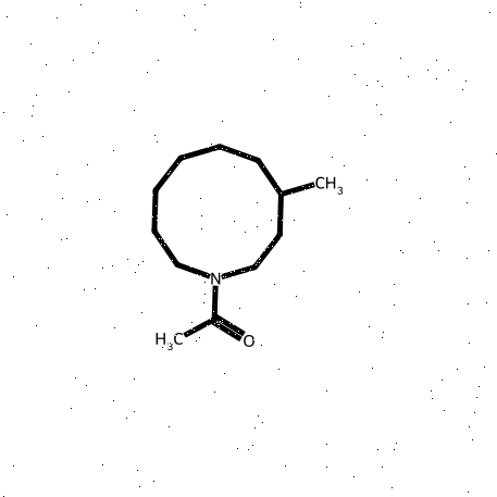 CC(=O)N1CCCCCCC(C)CC1